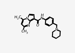 Cc1cc(C)n2ccc(C(=O)Nc3ccc(CN4CCCCC4)cc3)c2n1